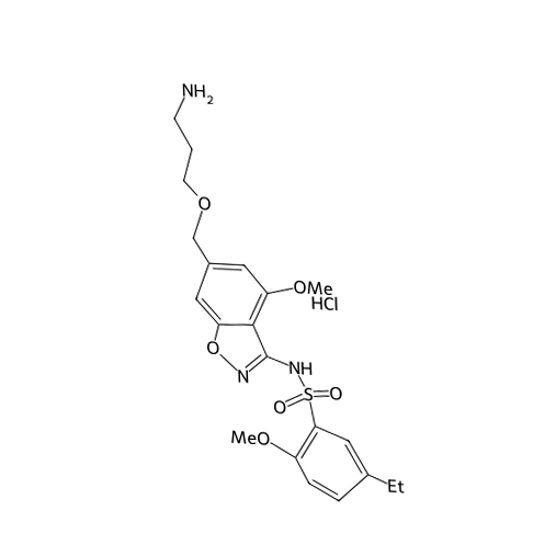 CCc1ccc(OC)c(S(=O)(=O)Nc2noc3cc(COCCCN)cc(OC)c23)c1.Cl